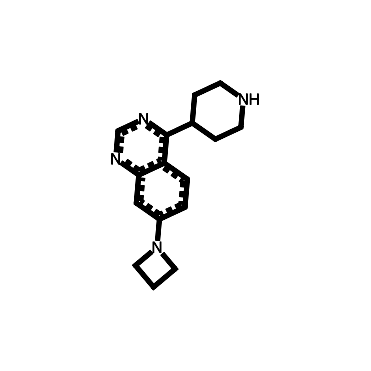 c1nc(C2CCNCC2)c2ccc(N3CCC3)cc2n1